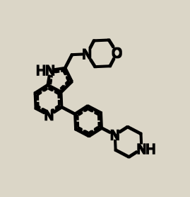 c1cc2[nH]c(CN3CCOCC3)cc2c(-c2ccc(N3CCNCC3)cc2)n1